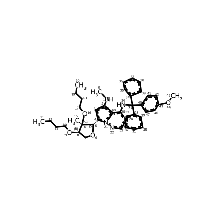 CBc1cc([C@@H]2OC[C@@H](OCCCC)[C@@]2(C)OCCCC)n2ncnc(NC(c3ccccc3)(c3ccccc3)c3ccc(OC)cc3)c12